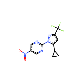 O=[N+]([O-])c1cnc(-n2nc(C(F)(F)F)cc2C2CC2)nc1